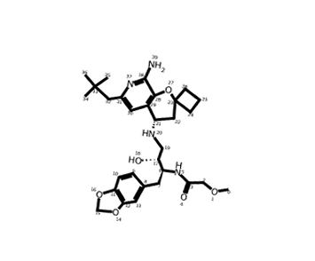 COCC(=O)N[C@@H](Cc1ccc2c(c1)OCO2)[C@H](O)CN[C@H]1CC2(CCC2)Oc2c1cc(CC(C)(C)C)nc2N